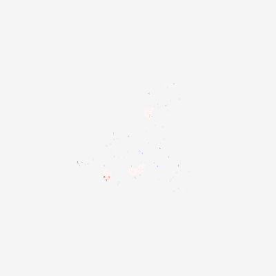 COC(=O)c1cccc(NC(=O)N(Cc2ccccc2)Cc2ccc(Oc3ccccc3)cc2)c1C(=O)OC